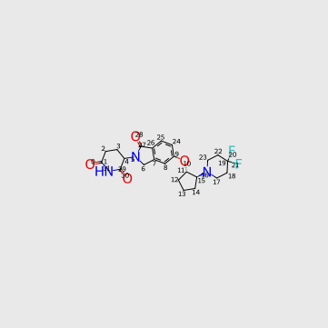 O=C1CCC(N2Cc3cc(O[C@H]4CCC[C@@H]4N4CCC(F)(F)CC4)ccc3C2=O)C(=O)N1